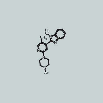 CC(=O)N1CCN(c2cc(-c3nc4ccccc4n3C)c(C)cn2)CC1